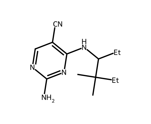 CCC(Nc1nc(N)ncc1C#N)C(C)(C)CC